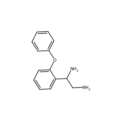 NCC(N)c1ccccc1Oc1ccccc1